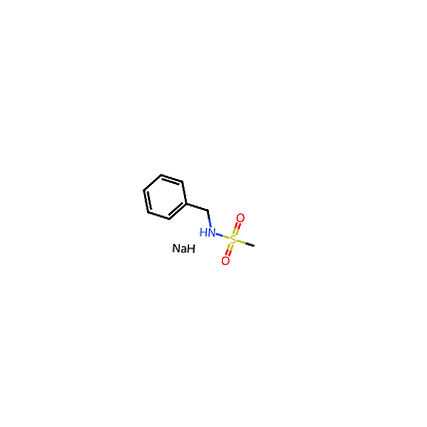 CS(=O)(=O)NCc1ccccc1.[NaH]